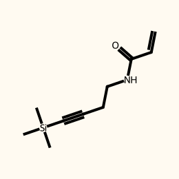 C=CC(=O)NCCC#C[Si](C)(C)C